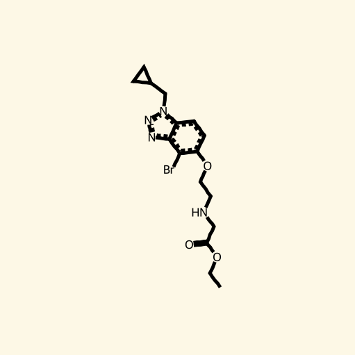 CCOC(=O)CNCCOc1ccc2c(nnn2CC2CC2)c1Br